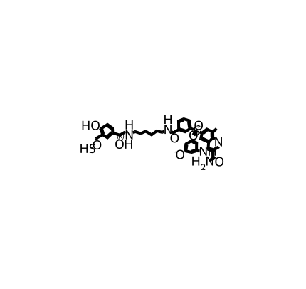 COc1cccc(Nc2c(C(N)=O)cnc3c(C)cc(S(=O)(=O)c4cccc(C(=O)NCCCCCCNC[C@H](O)c5ccc(O)c(COS)c5)c4)cc23)c1